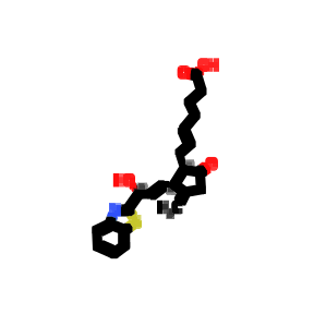 C=C1CC(=O)[C@H](CC=CCCCC(=O)O)[C@H]1C=C[C@@H](O)c1nc2ccccc2s1